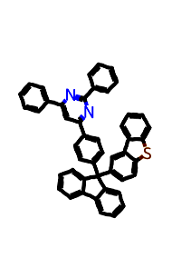 c1ccc(-c2cc(-c3ccc(C4(c5ccc6sc7ccccc7c6c5)c5ccccc5-c5ccccc54)cc3)nc(-c3ccccc3)n2)cc1